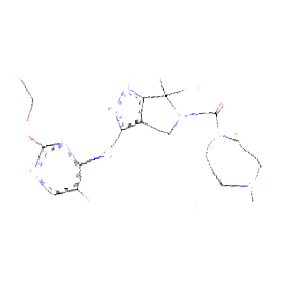 C[C@@H]1CN(C(=O)N2Cc3c(Nc4nc(OCC(F)(F)F)ncc4F)n[nH]c3C2(C)C)[C@H](C)CN1C